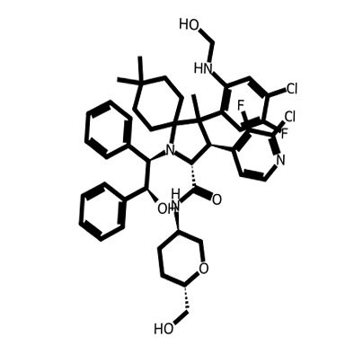 CC1(C)CCC2(CC1)N([C@H](c1ccccc1)[C@@H](O)c1ccccc1)[C@@H](C(=O)N[C@@H]1CC[C@@H](CO)OC1)[C@H](c1ccnc(Cl)c1F)C2(C)c1cc(F)c(Cl)cc1NCO